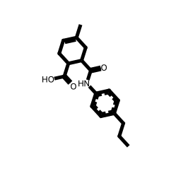 CCCc1ccc(NC(=O)C2CC(C)=CCC2C(=O)O)cc1